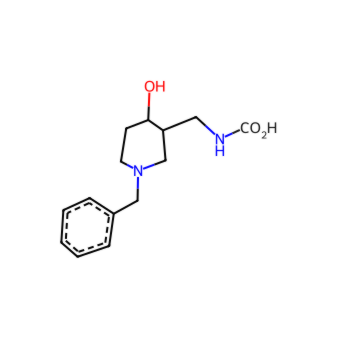 O=C(O)NCC1CN(Cc2ccccc2)CCC1O